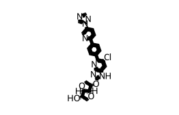 O[C@@H]1CO[C@H]2[C@@H]1OC[C@H]2Oc1nc2nc(-c3ccc(-c4ccc(-n5cncn5)cn4)cc3)c(Cl)cc2[nH]1